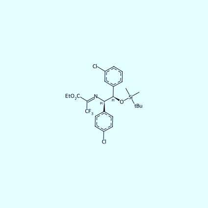 CCOC(=O)C(=N[C@H](c1ccc(Cl)cc1)[C@H](O[Si](C)(C)C(C)(C)C)c1cccc(Cl)c1)C(F)(F)F